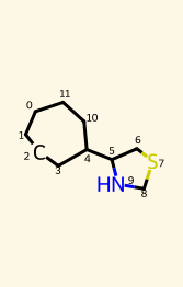 C1CCCC(C2CSCN2)CC1